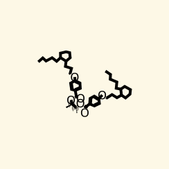 CCCCCC1CCCCC1CCCOc1ccc(C(=O)O[C@H](C)[C@@H](C)OC(=O)c2ccc(OCCCC3CCCCC3CCCCC)cc2)cc1